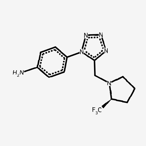 Nc1ccc(-n2nnnc2CN2CCC[C@H]2C(F)(F)F)cc1